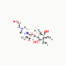 Cc1c(C)c(O)c(CC[C@@](C)(O)C(=O)N2CCN(CCO)CC2)c(C)c1O